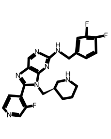 Fc1ccc(CNc2ncc3nc(-c4ccncc4F)n(C[C@@H]4CCCNC4)c3n2)cc1F